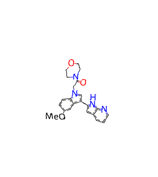 COc1ccc2c(c1)c(-c1cc3cccnc3[nH]1)cn2CC(=O)N1CCOCC1